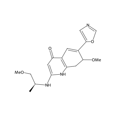 COC[C@H](C)Nc1cc(=O)c2c([nH]1)CC(OC)C(c1cnco1)=C2